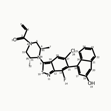 C=CC(=O)N1C[C@@H](C)N(c2snc3c(F)c(-c4cc(O)cc5ccccc45)c(Cl)cc23)[C@H](C)C1